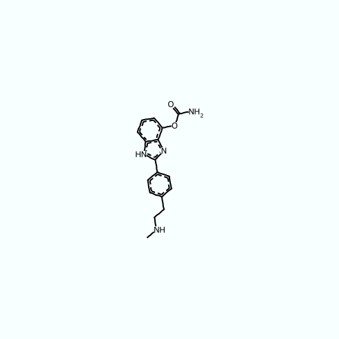 CNCCc1ccc(-c2nc3c(OC(N)=O)cccc3[nH]2)cc1